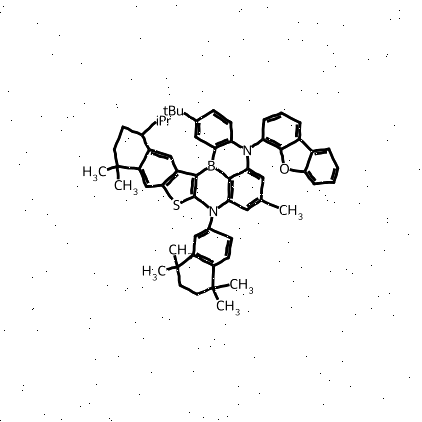 Cc1cc2c3c(c1)N(c1cccc4c1oc1ccccc14)c1ccc(C(C)(C)C)cc1B3c1c(sc3cc4c(cc13)C(C(C)C)CCC4(C)C)N2c1ccc2c(c1)C(C)(C)CCC2(C)C